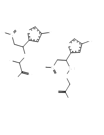 CC(SC(C[N+](=O)[O-])c1cc(Br)cs1)C(=O)O.O=C(O)CONC(C[N+](=O)[O-])c1cc(Br)cs1